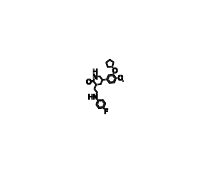 COc1ccc(C2CNC(=O)C(CCNc3ccc(F)cc3)C2)cc1OC1CCCC1